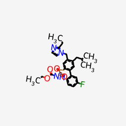 CCOC(=O)NS(=O)(=O)c1cc(Cn2ccnc2CC)c(CC(C)C)cc1-c1cccc(F)c1